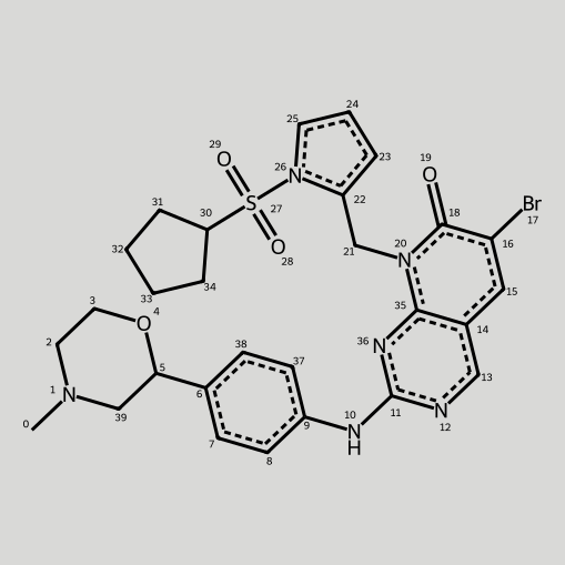 CN1CCOC(c2ccc(Nc3ncc4cc(Br)c(=O)n(Cc5cccn5S(=O)(=O)C5CCCC5)c4n3)cc2)C1